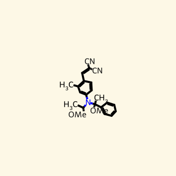 COC(C)N(c1ccc(C=C(C#N)C#N)c(C)c1)C(C)(OC)c1ccccc1